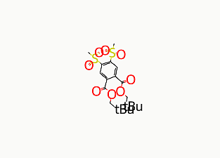 CC(C)(C)COC(=O)c1cc(S(C)(=O)=O)c(S(C)(=O)=O)cc1C(=O)OCC(C)(C)C